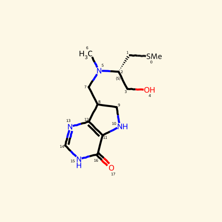 CSC[C@H](CO)N(C)CC1CNc2c1nc[nH]c2=O